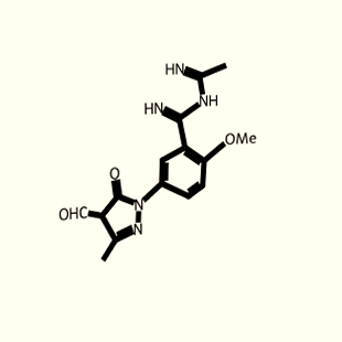 COc1ccc(N2N=C(C)C(C=O)C2=O)cc1C(=N)NC(C)=N